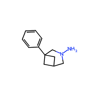 NN1CC2CC(c3ccccc3)(C2)C1